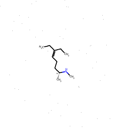 CCC(=CCC[C@@H](C)NC)CC